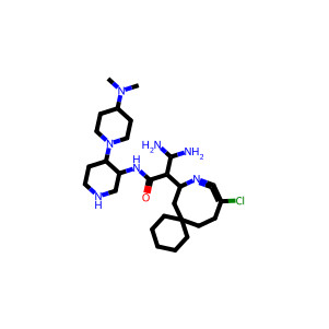 CN(C)C1CCN(C2CCNCC2NC(=O)C(C(N)N)C2CC3(CCCCC3)CCC(Cl)=C=N2)CC1